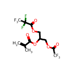 C=C(C)C(=O)OC(COC(=O)C(F)(F)F)COC(=O)C(F)(F)C(F)(F)F